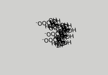 O=C([O-])C(O)C(O)C(O)C(O)CO.O=C([O-])C(O)C(O)C(O)C(O)CO.O=C([O-])C(O)C(O)C(O)C(O)CO.O=C([O-])C(O)C(O)C(O)C(O)CO.[Cu+2].[Zn+2]